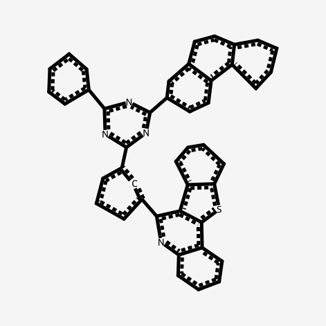 c1ccc(-c2nc(-c3cccc(-c4nc5ccccc5c5sc6ccccc6c45)c3)nc(-c3ccc4c(ccc5ccccc54)c3)n2)cc1